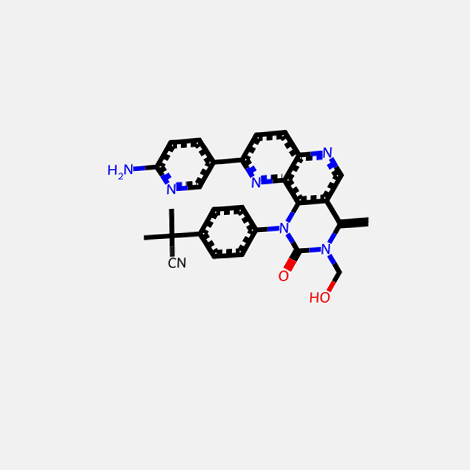 C=C1c2cnc3ccc(-c4ccc(N)nc4)nc3c2N(c2ccc(C(C)(C)C#N)cc2)C(=O)N1CO